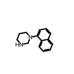 c1ccc2c(N3CCCNC3)cccc2c1